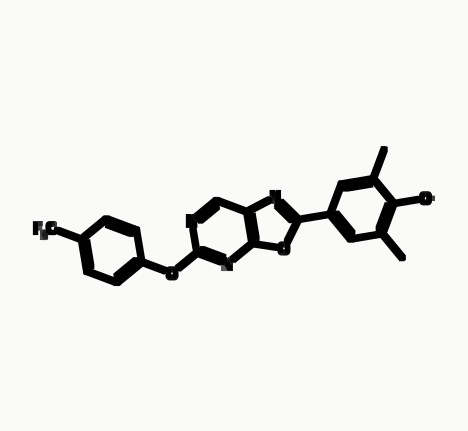 Cc1cc(-c2nc3cnc(Oc4ccc(C(F)(F)F)cc4)nc3o2)cc(C)c1[O]